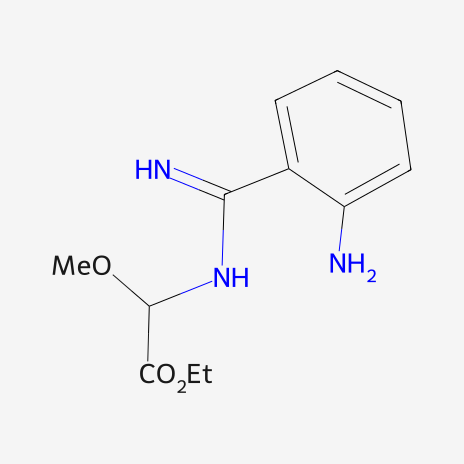 CCOC(=O)C(NC(=N)c1ccccc1N)OC